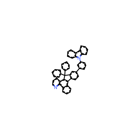 c1ccc(C2(c3ccccc3)c3cc(-c4cccc(-n5c6ccccc6c6ccccc65)c4)ccc3-c3c2c2cccnc2c2ccccc32)cc1